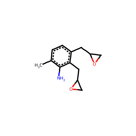 Cc1ccc(CC2CO2)c(CC2CO2)c1N